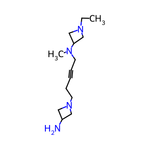 CCN1CC(N(C)CC#CCCN2CC(N)C2)C1